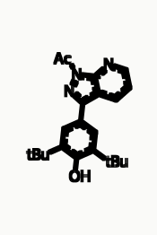 CC(=O)n1nc(-c2cc(C(C)(C)C)c(O)c(C(C)(C)C)c2)c2cccnc21